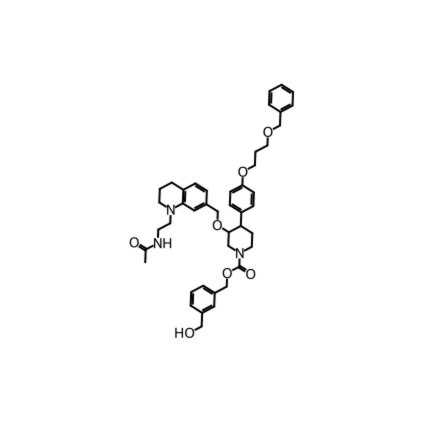 CC(=O)NCCN1CCCc2ccc(COC3CN(C(=O)OCc4cccc(CO)c4)CCC3c3ccc(OCCCOCc4ccccc4)cc3)cc21